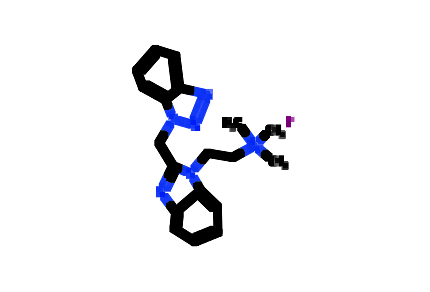 C[N+](C)(C)CCn1c(Cn2nnc3ccccc32)nc2ccccc21.[I-]